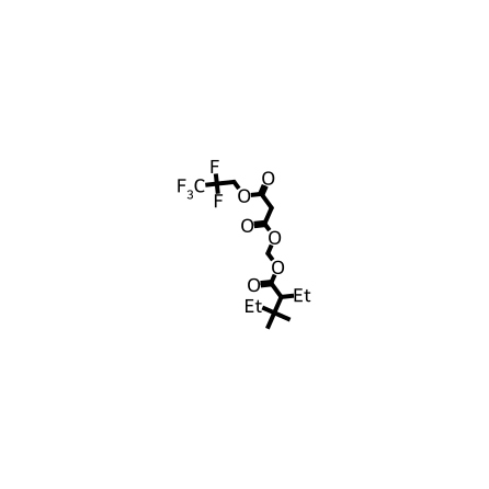 CCC(C(=O)OCOC(=O)CC(=O)OCC(F)(F)C(F)(F)F)C(C)(C)CC